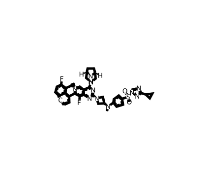 C#Cc1c(F)ccc2cccc(-c3ncc4c(N5C[C@H]6CC[C@@H](C5)N6)nc(N5CC(N(C)c6ccc(S(=O)(=O)n7cnc(C8CC8)n7)cc6)C5)nc4c3F)c12